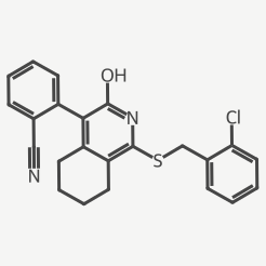 N#Cc1ccccc1-c1c(O)nc(SCc2ccccc2Cl)c2c1CCCC2